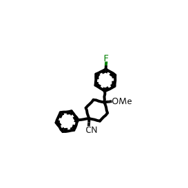 COC1(c2ccc(F)cc2)CCC(C#N)(c2ccccc2)CC1